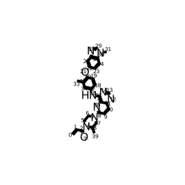 C=CC(=O)N1CCN(c2ccc3ncnc(Nc4ccc(Oc5ccc6c(c5)ncn6C)c(C)c4)c3n2)CC1C